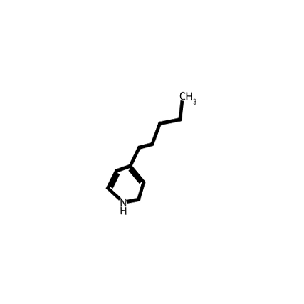 CCCCCC1=CCNC=C1